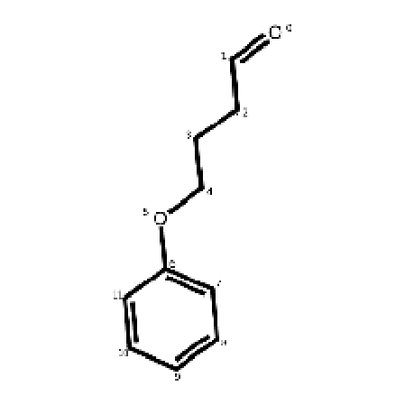 O=C[CH]CCOc1ccccc1